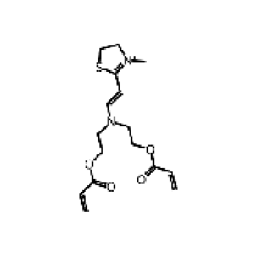 C=CC(=O)OCCN(C=CC1=[N+](C)CCS1)CCOC(=O)C=C